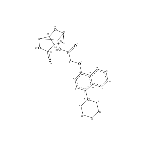 O=C(COc1ccc([S+]2CCCCC2)c2ccccc12)OC1C2CC3C(=O)OC1C3O2